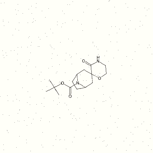 CC(C)(C)OC(=O)N1C2CCC1CC1(C2)OCCNC1=O